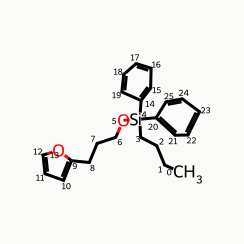 CCCC[Si](OCCCc1ccco1)(c1ccccc1)c1ccccc1